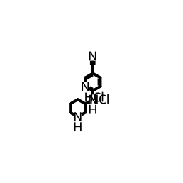 Cl.Cl.N#Cc1ccc(NC2CCCNC2)nc1